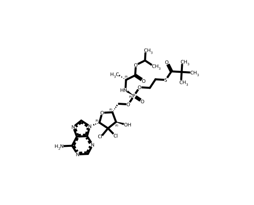 CC(C)OC(=O)[C@@H](C)N[P@](=O)(OCCSC(=O)C(C)(C)C)OC[C@H]1O[C@@H](n2cnc3c(N)ncnc32)C(Cl)(Cl)[C@@H]1O